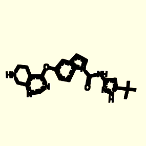 CC(C)(C)c1cc(NC(=O)n2ccc3cc(Oc4ncnc5c4CCNC5)ccc32)n[nH]1